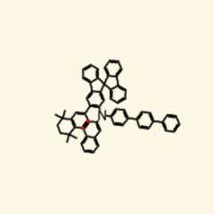 CC1(C)CCC(C)(C)c2cc(-c3cc4c(cc3N(c3ccc(-c5ccc(-c6ccccc6)cc5)cc3)c3ccc5ccccc5c3)C3(c5ccccc5-c5ccccc53)c3ccccc3-4)ccc21